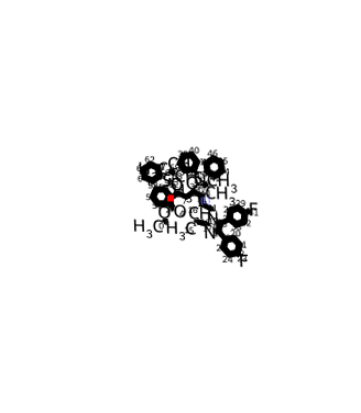 CCOC(=O)CC(CC(/C=C/Cn1c(C(C)C)nc(-c2ccc(F)cc2)c1-c1ccc(F)cc1)O[Si](c1ccccc1)(c1ccccc1)C(C)(C)C)O[Si](c1ccccc1)(c1ccccc1)C(C)(C)C